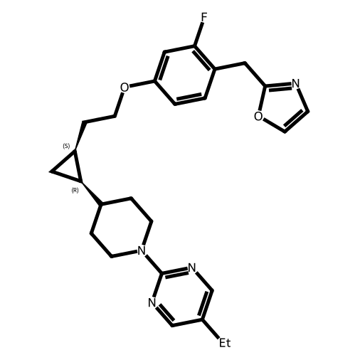 CCc1cnc(N2CCC([C@H]3C[C@H]3CCOc3ccc(Cc4ncco4)c(F)c3)CC2)nc1